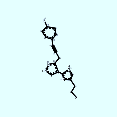 CCCc1c[nH]c(-c2c[nH]nc2CC#Cc2ccc(F)cc2)n1